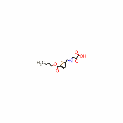 CCCCOC(=O)c1ccc(CNCC(=O)C(=O)O)s1